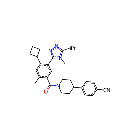 Cc1cc(C2CCC2)c(-c2nnc(C(C)C)n2C)cc1C(=O)N1CCC(c2ccc(C#N)cc2)CC1